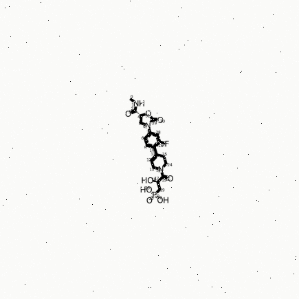 CNC(=O)[C@H]1CN(c2ccc(C3=CCN(C(=O)[C@H](O)CP(=O)(O)O)CC3)c(F)c2)C(=O)O1